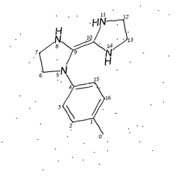 Cc1ccc(N2CCNC2=C2NCCN2)cc1